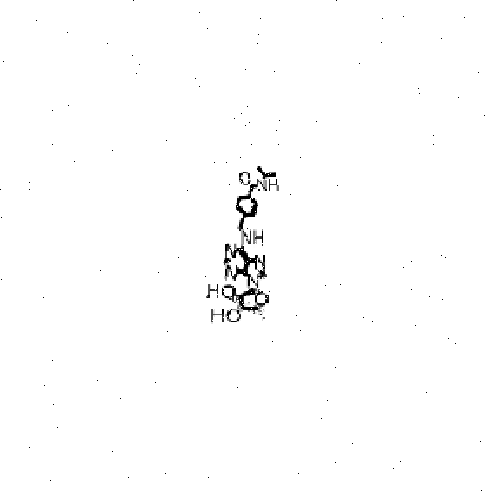 CC(C)NC(=O)c1ccc(CNc2ncnc3c2ncn3[C@@H]2O[C@H](C)[C@@H](O)[C@H]2O)cc1